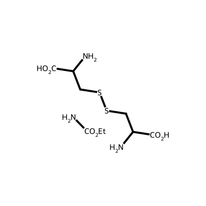 CCOC(N)=O.NC(CSSCC(N)C(=O)O)C(=O)O